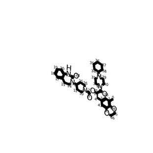 Cc1cc(C[C@@H](OC(=O)N2CCC(N3CCc4ccccc4NC3=O)CC2)C(=O)N2CCN(C3CCCCC3)CC2)cc2c1OCCO2